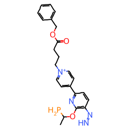 CC(P)Oc1nc(-c2cc[n+](CCCC(=O)OCc3ccccc3)cc2)ccc1N=N